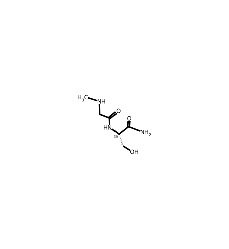 CNCC(=O)N[C@@H](CO)C(N)=O